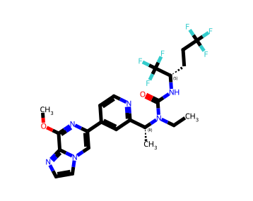 CCN(C(=O)N[C@@H](CCC(F)(F)F)C(F)(F)F)[C@H](C)c1cc(-c2cn3ccnc3c(OC)n2)ccn1